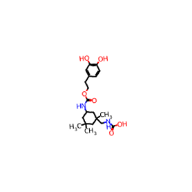 CC1(C)CC(NC(=O)OCCc2ccc(O)c(O)c2)CC(C)(CNC(=O)O)C1